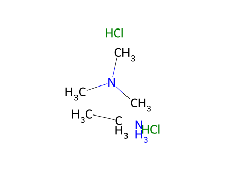 CC.CN(C)C.Cl.Cl.N